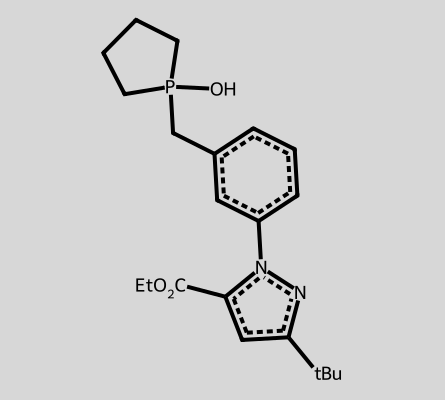 CCOC(=O)c1cc(C(C)(C)C)nn1-c1cccc(C[P]2(O)CCCC2)c1